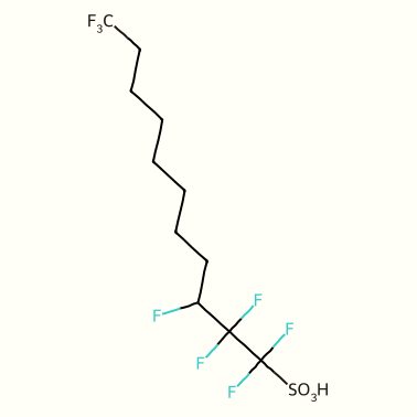 O=S(=O)(O)C(F)(F)C(F)(F)C(F)CCCCCCCC(F)(F)F